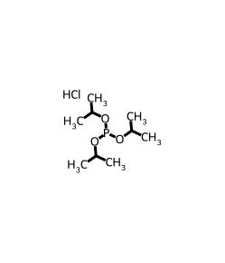 CC(C)OP(OC(C)C)OC(C)C.Cl